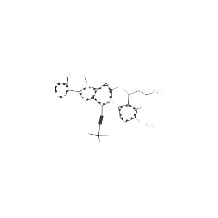 CCn1c(-c2nonc2N)nc2c(C#CC(C)(C)O)nc(OC(CCN)c3cccc(OC)c3F)cc21